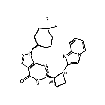 O=c1[nH]c([C@@H]2CC[C@@H]2c2cn3ccccc3n2)nc2c1cnn2C1CCC(F)(F)CC1